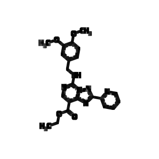 CCOC(=O)c1cnc(NCc2ccc(OC)c(OC)c2)n2nc(-c3ccccn3)nc12